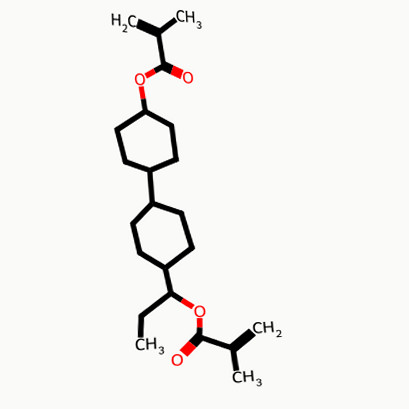 C=C(C)C(=O)OC1CCC(C2CCC(C(CC)OC(=O)C(=C)C)CC2)CC1